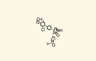 COc1ccc(-c2ccc(-c3n[nH]c(=O)n3C[C@@H]3CCN(C(=O)C4CC4)C3)cc2)c(Cl)c1